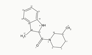 CC1CCCN(C(=O)C2Nc3ccccc3C2C)C1